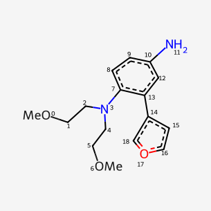 COCCN(CCOC)c1ccc(N)cc1-c1ccoc1